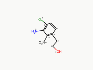 Nc1c(Cl)ccc(CCO)c1[N+](=O)[O-]